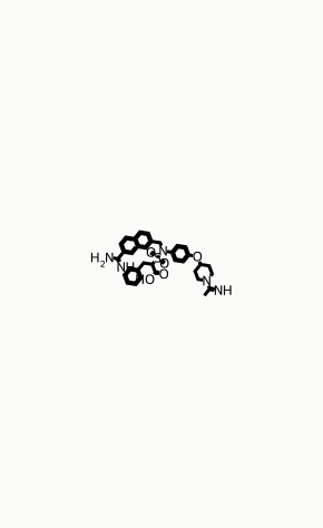 CC(=N)N1CCC(Oc2ccc(N(Cc3ccc4ccc(C(=N)N)cc4c3)S(=O)(=O)C(Cc3ccccc3)C(=O)O)cc2)CC1